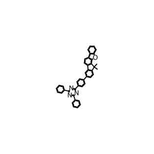 CC1(C)c2ccc(-c3ccc(-c4nc(-c5ccccc5)nc(-c5ccccc5)n4)cc3)cc2-c2ccc3c(oc4ccccc43)c21